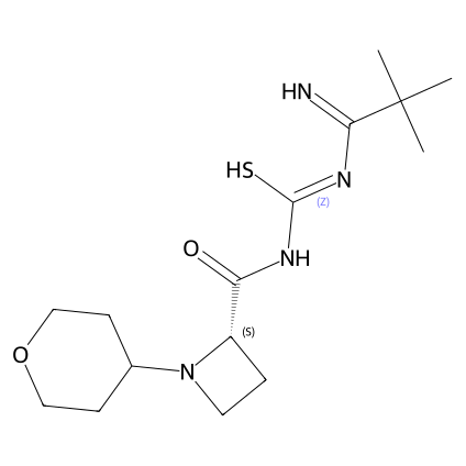 CC(C)(C)C(=N)/N=C(\S)NC(=O)[C@@H]1CCN1C1CCOCC1